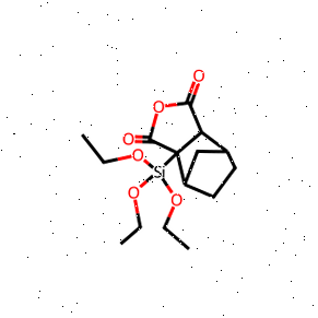 CCO[Si](OCC)(OCC)C12C(=O)OC(=O)C1C1CCC2C1